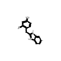 Fc1cc(Cl)ccc1Cc1nc2ccccc2s1